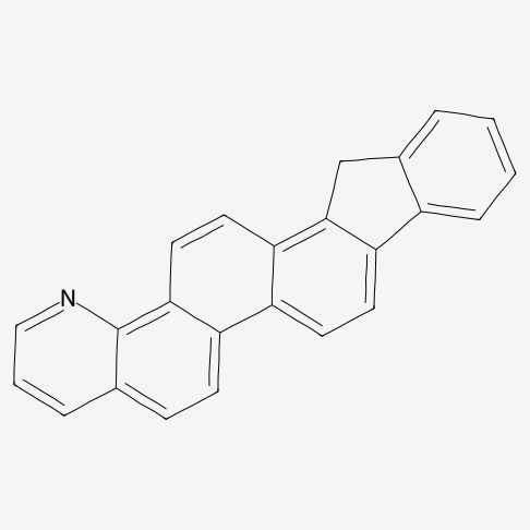 c1ccc2c(c1)Cc1c-2ccc2c1ccc1c2ccc2cccnc21